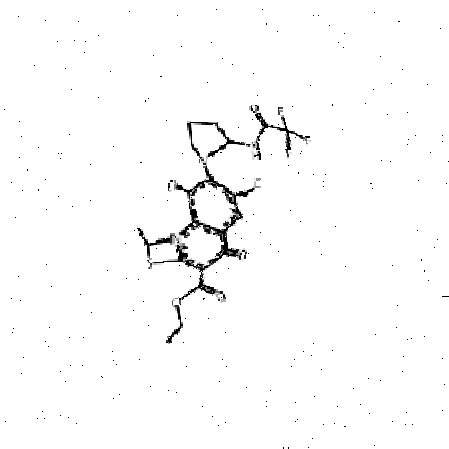 CCOC(=O)c1c2n(c3c(Cl)c(N4CCCC4NC(=O)C(F)(F)F)c(F)cc3c1=O)C(C)S2